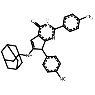 [C-]#[N+]c1ccc(C2C(NC34CC5CC(CC(C5)C3)C4)=Cc3c2nc(-c2ccc(C(F)(F)F)cc2)[nH]c3=O)cc1